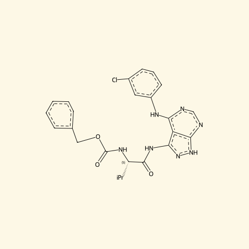 CC(C)[C@H](NC(=O)OCc1ccccc1)C(=O)Nc1n[nH]c2ncnc(Nc3cccc(Cl)c3)c12